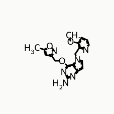 COc1cccnc1Cn1ccc2nc(N)nc(OCc3cc(C)on3)c21